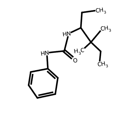 CCC(NC(=O)Nc1ccccc1)C(C)(C)CC